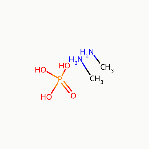 CN.CN.O=P(O)(O)O